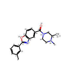 Cc1cccc(-c2nc3cc(C(=O)N4CCN(C)C(C(F)(F)F)C4)ccc3o2)c1